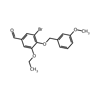 CCOc1cc(C=O)cc(Br)c1OCc1cccc(OC)c1